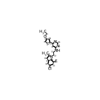 CCOc1csc(-c2cc(NCCn3c(C)cc4cc(Cl)cc(F)c43)ncn2)c1